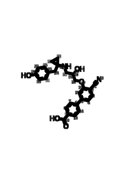 N#Cc1ccc(-c2ccc(C(=O)O)cc2)cc1OC[C@@H](O)CNC1(Cc2ccc(O)cc2)CC1